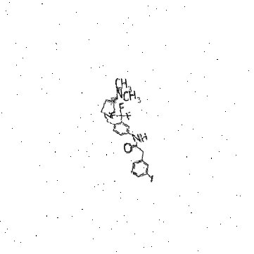 CN(C)[C@@H]1CCN(Cc2ccc(NC(=O)Cc3cccc(I)c3)cc2C(F)(F)F)C1